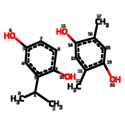 CC(C)c1cc(O)ccc1O.Cc1cc(O)c(C)cc1O